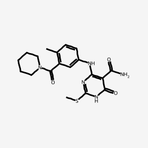 CSc1nc(Nc2ccc(C)c(C(=O)N3CCCCC3)c2)c(C(N)=O)c(=O)[nH]1